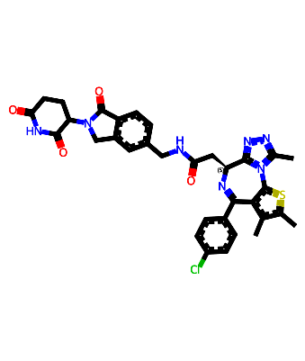 Cc1sc2c(c1C)C(c1ccc(Cl)cc1)=N[C@@H](CC(=O)NCc1ccc3c(c1)CN(C1CCC(=O)NC1=O)C3=O)c1nnc(C)n1-2